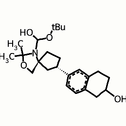 CC(C)(C)OC(O)N1C(C)(C)OC[C@]12CC[C@H](c1ccc3c(c1)CCC(O)C3)C2